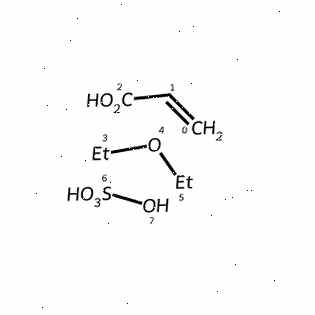 C=CC(=O)O.CCOCC.O=S(=O)(O)O